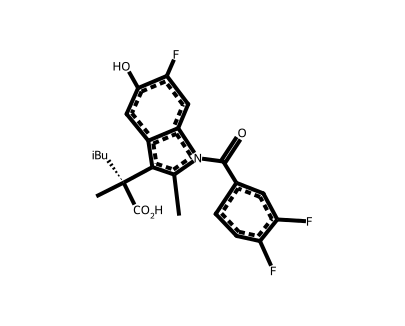 CCC(C)[C@@](C)(C(=O)O)c1c(C)n(C(=O)c2ccc(F)c(F)c2)c2cc(F)c(O)cc12